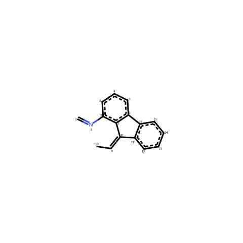 C=Nc1cccc2c1/C(=C\C)c1ccccc1-2